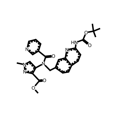 COC(=O)c1nn(C)cc1N(Cc1ccc2ccc(NC(=O)OC(C)(C)C)nc2c1)C(=O)c1cccnc1